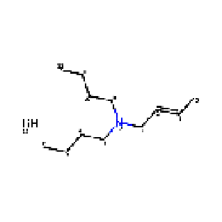 [CH2]C=CCN(CCCC)CCCC.[LiH]